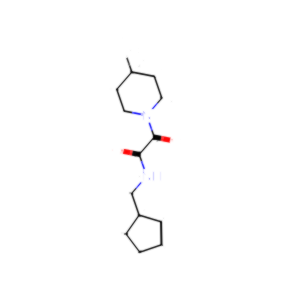 O=C(NCC1CCCC1)C(=O)N1CCC(C(=O)O)CC1